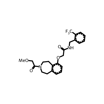 COCC(=O)N1CCc2cccc(OCC(=O)NCc3ccccc3C(F)(F)F)c2CC1